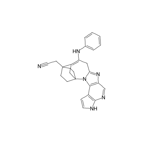 N#CCC12CCC3(CC1)CC2=C(Nc1ccccc1)Cc1nc2cnc4[nH]ccc4c2n13